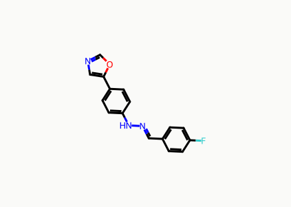 Fc1ccc(/C=N/Nc2ccc(-c3cnco3)cc2)cc1